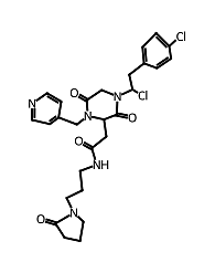 O=C(CC1C(=O)N(C(Cl)Cc2ccc(Cl)cc2)CC(=O)N1Cc1ccncc1)NCCCN1CCCC1=O